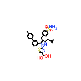 Cc1ccc(-c2cccc(-c3c(Cc4ccc(S(N)(=O)=O)cc4)c(CC4CC4)nn3-c3nc(C(O)O)cs3)c2)cc1